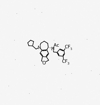 CC(=O)N(Cc1cc(C(F)(F)F)cc(C(F)(F)F)c1)[C@H]1CCCN(CC2CCCC2)c2cc3c(cc21)COC3